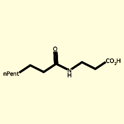 CCCCCCCC(=O)NCCC(=O)O